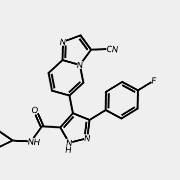 N#Cc1cnc2ccc(-c3c(-c4ccc(F)cc4)n[nH]c3C(=O)NC3CC3)cn12